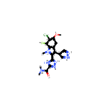 COc1cc2c(-c3cn[nH]c3)c(-c3nnc(C(=O)N(C)C)[nH]3)n(C)c2c(F)c1Cl